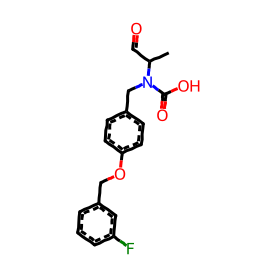 CC(C=O)N(Cc1ccc(OCc2cccc(F)c2)cc1)C(=O)O